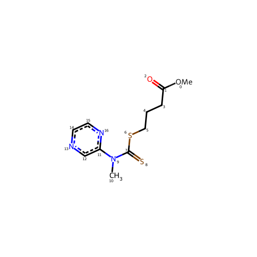 COC(=O)CCCSC(=S)N(C)c1cnccn1